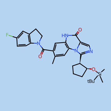 Cc1cc2c(cc1C(=O)N1CCc3cc(F)ccc31)[nH]c(=O)c1cnc([C@@H]3CCC[C@@H]3O[Si](C)(C)C(C)(C)C)n12